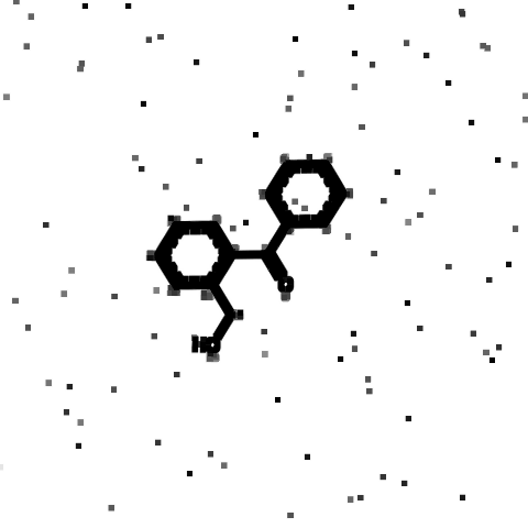 O=C(c1ccccc1)c1ccccc1CO